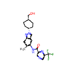 Cc1cc2nn([C@H]3CC[C@H](CO)CC3)cc2cc1NC(=O)c1cncc(C(F)(F)F)n1